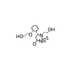 O=c1cc(-c2ccccc2OCCO)n(CCO)c(=S)[nH]1